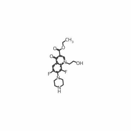 CCOC(=O)c1cn(CCO)c2c(F)c(N3CCNCC3)c(F)cc2c1=O